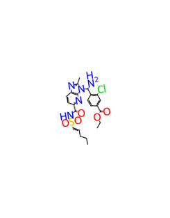 CCCC=CS(=O)(=O)NC(=O)c1ccc2nc(C)n(C(N)c3ccc(C(=O)OCC)cc3Cl)c2n1